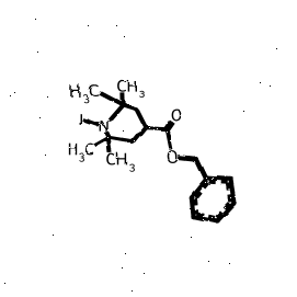 CC1(C)CC(C(=O)OCc2ccccc2)CC(C)(C)N1I